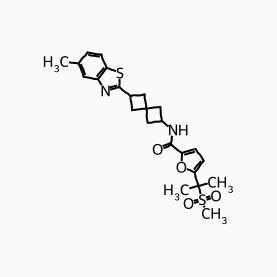 Cc1ccc2sc(C3CC4(CC(NC(=O)c5ccc(C(C)(C)S(C)(=O)=O)o5)C4)C3)nc2c1